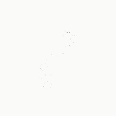 O=C(O)C[C@@H](C(=O)Nc1ccc2c(N3C(=O)c4ccccc4C3=O)noc2c1)[C@H]1OCCN(c2cccc3[nH]c(=O)ccc23)C1=O